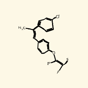 CC(=Cc1ccc(OC(F)=C(F)F)cc1)c1ccc(Cl)cc1